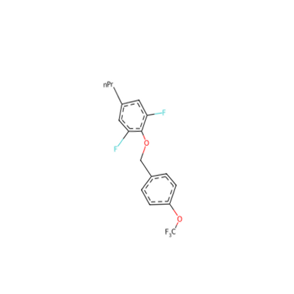 CCCc1cc(F)c(OCc2ccc(OC(F)(F)F)cc2)c(F)c1